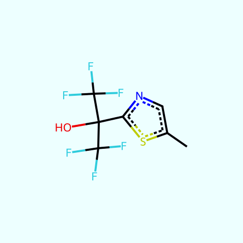 Cc1cnc(C(O)(C(F)(F)F)C(F)(F)F)s1